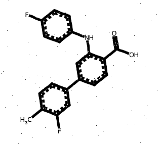 Cc1ccc(-c2ccc(C(=O)O)c(Nc3ccc(F)cc3)c2)cc1F